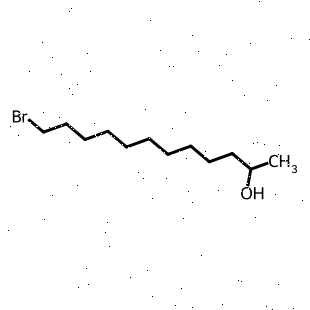 CC(O)CCCCCCCCCCBr